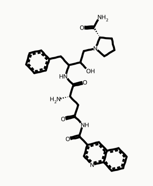 NC(=O)[C@@H]1CCCN1CC(O)C(Cc1ccccc1)NC(=O)[C@@H](N)CC(=O)NC(=O)c1cnc2ccccc2c1